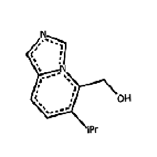 CC(C)c1ccc2cncn2c1CO